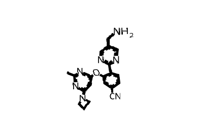 Cc1nc(Oc2cc(C#N)ccc2-c2ncc(CN)cn2)cc(N2CCC2)n1